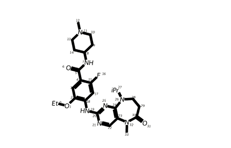 CCOc1cc(C(=O)NC2CCN(C)CC2)c(F)cc1Nc1ncc2c(n1)N(C(C)C)CCC(=O)N2C